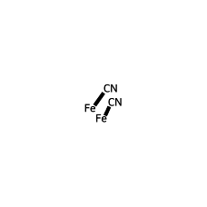 N#[C][Fe].N#[C][Fe]